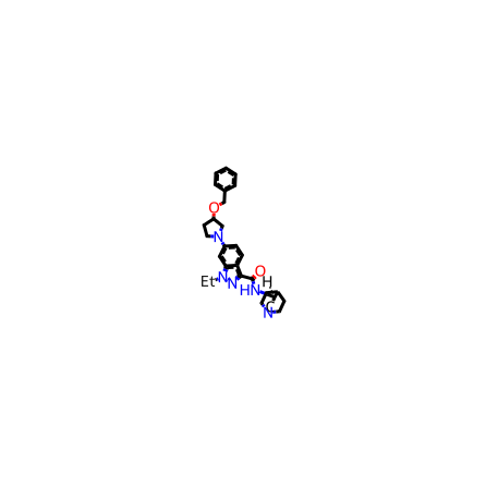 CCn1nc(C(=O)N[C@@H]2CN3CCC2CC3)c2ccc(N3CCC(OCc4ccccc4)C3)cc21